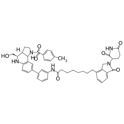 Cc1ccc(S(=O)(=O)N2CC[C@@H]3[C@H](CO)Nc4ccc(-c5cccc(NC(=O)CCCCCCCc6cccc7c6CN(C6CCC(=O)NC6=O)C7=O)c5)cc4[C@@H]32)cc1